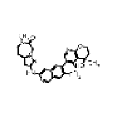 Cc1c(-c2cc3cc(Nc4cc5n(n4)CC(=O)N(C)CC5)ncc3cc2F)cnc2c1[C@](C)(O)CCO2